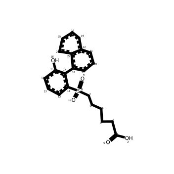 O=C(O)CCCCCS(=O)(=O)c1cccc(O)c1-c1cccc2ccccc12